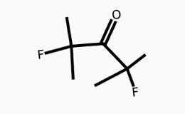 CC(C)(F)C(=O)C(C)(C)F